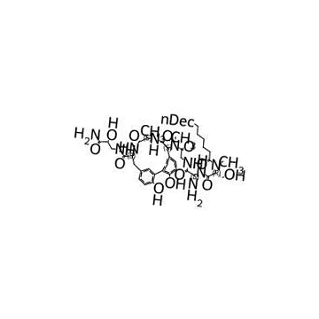 CCCCCCCCCCCCCCCC(=O)N(C)[C@H](CO)C(=O)N[C@H](N)C(=O)NCC(=O)N(C)[C@@H]1C(=O)N[C@@H](C)C(=O)N[C@H](C(=O)NCC(O)C(N)=O)Cc2ccc(O)c(c2)-c2cc1ccc2O